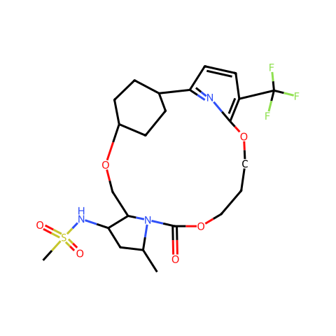 CC1CC(NS(C)(=O)=O)C2COC3CCC(CC3)c3ccc(C(F)(F)F)c(n3)OCCCOC(=O)N12